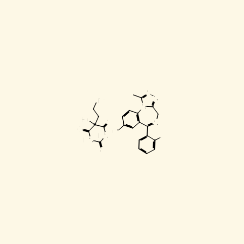 CCC1(CCC(C)C)C(=O)NC(=O)NC1=O.Cc1nnc2n1-c1ccc(Cl)cc1C(c1ccccc1Cl)=NC2